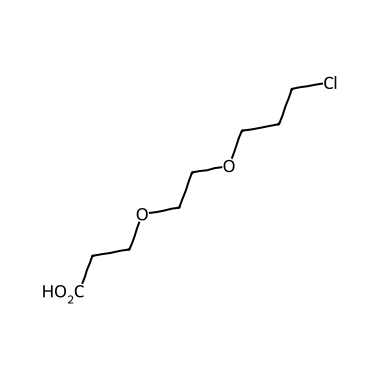 O=C(O)CCOCCOCCCCl